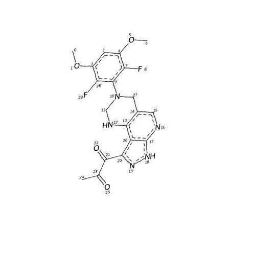 COc1cc(OC)c(F)c(N2CNc3c(cnc4[nH]nc(C(=O)C(C)=O)c34)C2)c1F